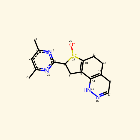 Cc1cc(C)nc(C2CC3=C(CCC4=C3NN=CC4)[S+]2[O-])n1